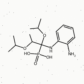 CC(C)OC(C)C(Nc1ccccc1N)(OC(C)C)P(=O)(O)O